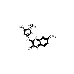 COc1ccc2nc(Cl)c(O[C@@H]3C[C@@H](C)N(C)C3)nc2c1